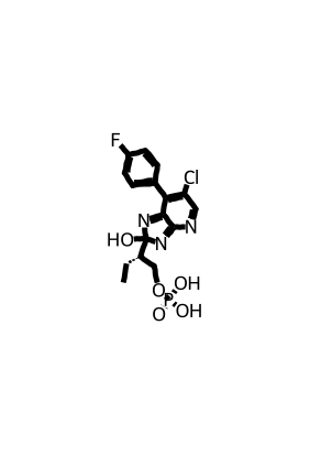 CC[C@@H](COP(=O)(O)O)C1(O)N=c2ncc(Cl)c(-c3ccc(F)cc3)c2=N1